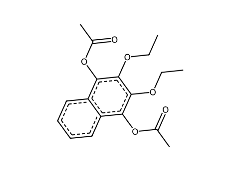 CCOc1c(OCC)c(OC(C)=O)c2ccccc2c1OC(C)=O